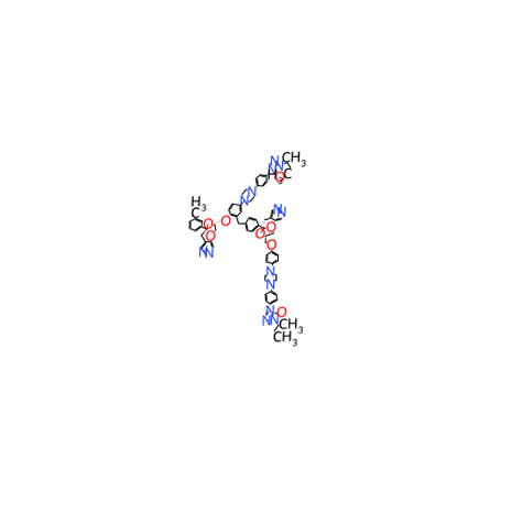 CCC(C)n1ncn(-c2ccc(N3CCN(c4ccc(OC[C@@H]5CO[C@](Cc6ccnnc6)(c6ccc(Cc7cc(N8CCN(c9ccc(-n%10cnn(C(C)CC)c%10=O)cc9)CC8)ccc7OC[C@@H]7CO[C@](Cc8ccnnc8)(c8cccc(C)c8)O7)cc6)O5)cc4)CC3)cc2)c1=O